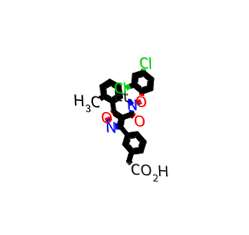 CCN(Oc1ccc(Cl)cc1Cl)C(=O)c1c(-c2cccc(CC(=O)O)c2)noc1-c1ccccc1C